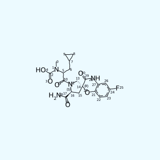 CN(C(=O)O)C(CC1CC1)C(=O)N1C[C@@]2(C[C@H]1C(N)=O)Oc1ccc(F)cc1NC2=O